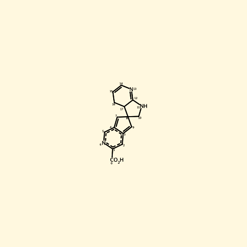 O=C(O)c1cc2c(cn1)=CC1(C=2)CNC2=NC=CCC21